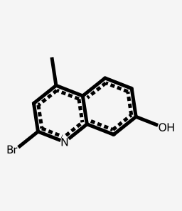 Cc1cc(Br)nc2cc(O)ccc12